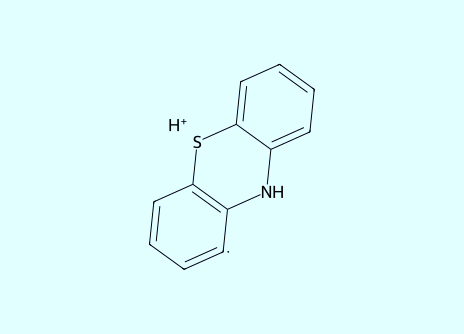 [H+].[c]1cccc2c1Nc1ccccc1S2